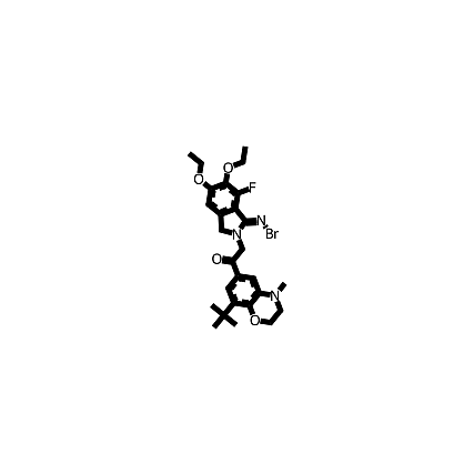 CCOc1cc2c(c(F)c1OCC)/C(=N/Br)N(CC(=O)c1cc3c(c(C(C)(C)C)c1)OCCN3C)C2